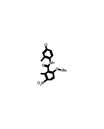 CCCCOc1ccc([N+](=O)[O-])c(C)c1C(=O)Nc1ccc(Cl)cc1C